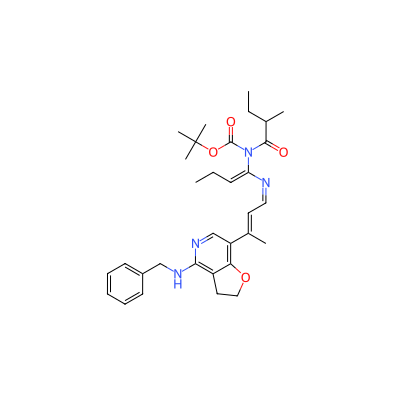 CC/C=C(/N=C\C=C(/C)c1cnc(NCc2ccccc2)c2c1OCC2)N(C(=O)OC(C)(C)C)C(=O)C(C)CC